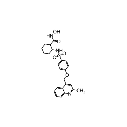 Cc1cc(COc2ccc(S(=O)(=O)NC3CCCCC3C(=O)NO)cc2)c2ccccc2n1